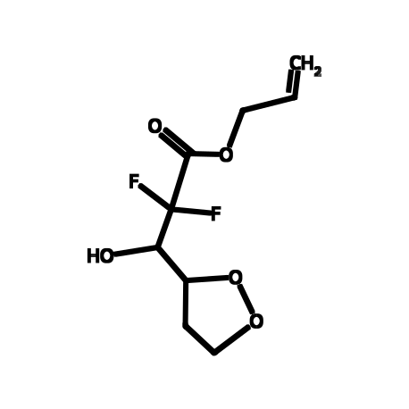 C=CCOC(=O)C(F)(F)C(O)C1CCOO1